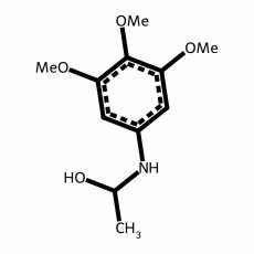 COc1cc(NC(C)O)cc(OC)c1OC